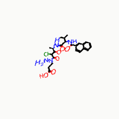 CC(NC(=O)C(NC(=O)c1ccc2ccccc2c1)C(C)C)C(=O)C(Cl)C(=O)N(N)CCC(=O)O